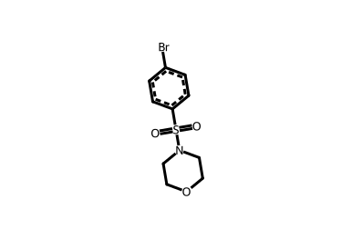 O=S(=O)(c1ccc(Br)cc1)N1CCOCC1